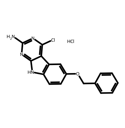 Cl.Nc1nc(Cl)c2c(n1)[nH]c1ccc(OCc3ccccc3)cc12